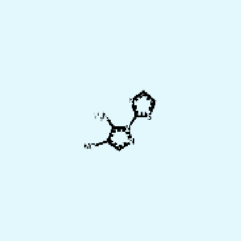 N#Cc1cnn(-c2nccs2)c1N